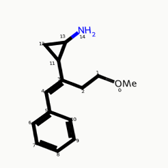 COCC/C(=C\c1ccccc1)C1CC1N